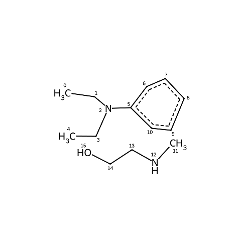 CCN(CC)c1ccccc1.CNCCO